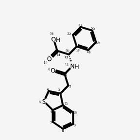 O=C(Cc1csc2ccccc12)N[C@H](C(=O)O)c1ccccc1